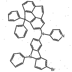 Brc1ccc2c(c1)c1cc(N(c3ccncc3)c3cc4c5c(ccc6cccc(c65)C4(c4ccccc4)c4ccccc4)c3)ccc1n2-c1ccccc1